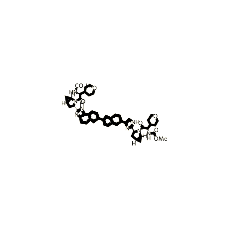 COC(=O)N[C@H](C(=O)N1[C@@H]2C[C@H]2C[C@H]1c1nc(-c2ccc3cc(-c4ccc5c(ccc6nc([C@@H]7C[C@H]8C[C@H]8N7C(=O)[C@@H](NC(=O)O)C7CCOCC7)[nH]c65)c4)ccc3c2)c[nH]1)C1CCOCC1